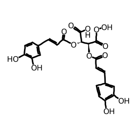 O=C(/C=C/c1ccc(O)c(O)c1)O[C@H](C(=O)O)[C@H](OC(=O)/C=C/c1ccc(O)c(O)c1)C(=O)OO